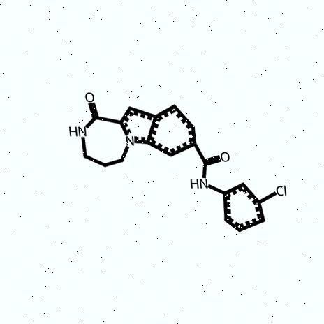 O=C(Nc1cccc(Cl)c1)c1ccc2cc3n(c2c1)CCCNC3=O